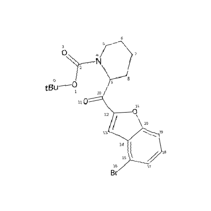 CC(C)(C)OC(=O)N1CCCCC1C(=O)c1cc2c(Br)cccc2o1